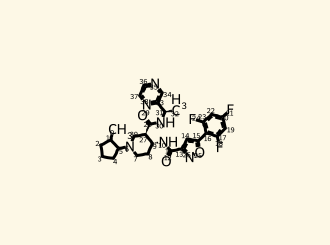 CC1CCCC1N1CC[C@@H](NC(=O)c2cc(-c3c(F)cc(F)cc3F)on2)[C@H](C(=O)N[C@H](C)c2cnccn2)C1